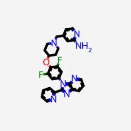 Nc1cc(CN2CCC(Oc3c(F)cc(-n4c(-c5ccccn5)nc5cccnc54)cc3F)CC2)ccn1